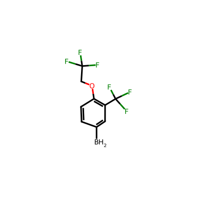 Bc1ccc(OCC(F)(F)F)c(C(F)(F)F)c1